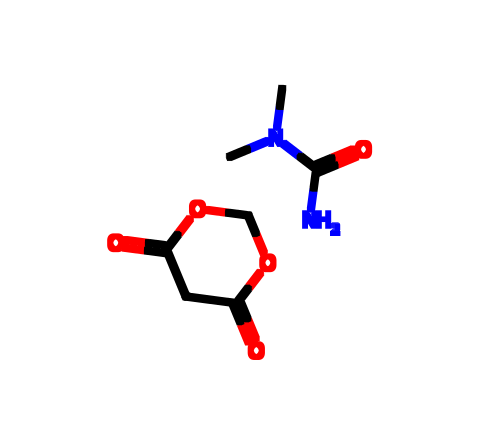 CN(C)C(N)=O.O=C1CC(=O)OCO1